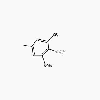 COc1cc(C)cc(C(F)(F)F)c1C(=O)O